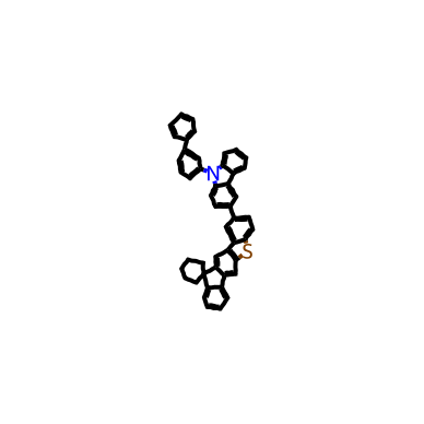 c1ccc(-c2cccc(-n3c4ccccc4c4cc(-c5ccc6sc7cc8c(cc7c6c5)C5(CCCCC5)c5ccccc5-8)ccc43)c2)cc1